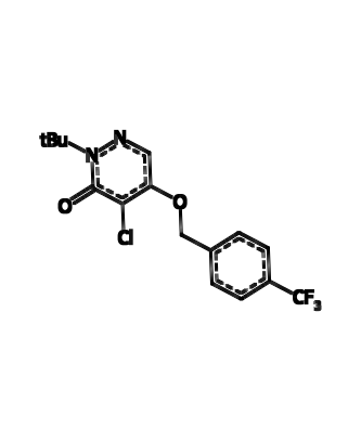 CC(C)(C)n1ncc(OCc2ccc(C(F)(F)F)cc2)c(Cl)c1=O